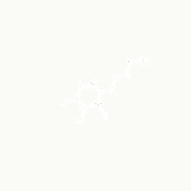 Fn1pnp(OCCCC(F)(F)F)n(F)p1F